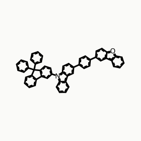 c1ccc(C2(c3ccccc3)c3ccccc3-c3cc(-n4c5ccccc5c5cc(-c6ccc(-c7ccc8oc9ccccc9c8c7)cc6)ccc54)ccc32)cc1